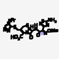 CCCn1cnnc1SCC1=C(C(=O)O)N2C(=O)C(NC(=O)/C(=N/OC)c3nsc(N)n3)[C@H]2SC1